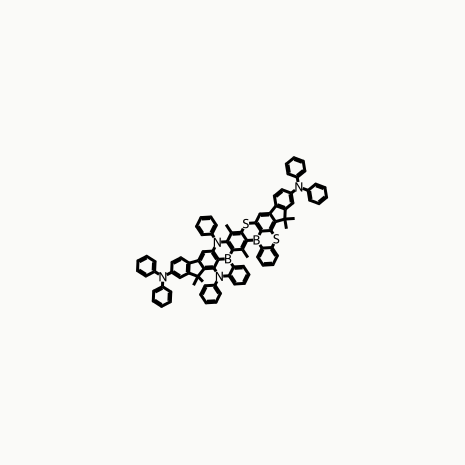 Cc1c2c(c(C)c3c1B1c4ccccc4N(c4ccccc4)c4c1c(cc1c4C(C)(C)c4cc(N(c5ccccc5)c5ccccc5)ccc4-1)N3c1ccccc1)Sc1cc3c(c4c1B2c1ccccc1S4)C(C)(C)c1cc(N(c2ccccc2)c2ccccc2)ccc1-3